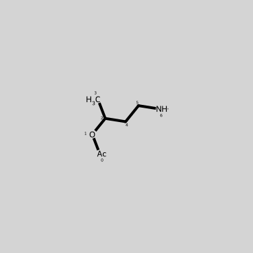 CC(=O)OC(C)CC[NH]